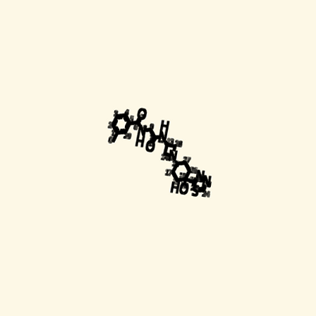 Cc1cccc(C(=O)NCC(=O)NC2CN([C@H]3CC[C@@](O)(c4nncs4)CC3)C2)c1